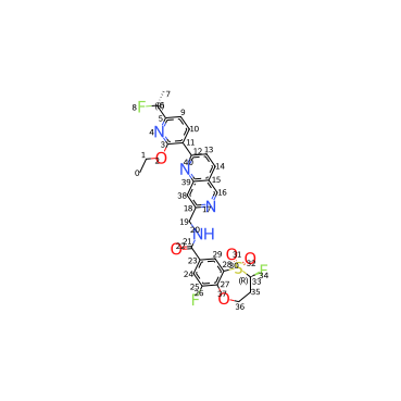 CCOc1nc([C@@H](C)F)ccc1-c1ccc2cnc(CNC(=O)c3cc(F)c4c(c3)S(=O)(=O)[C@@H](F)CCO4)cc2n1